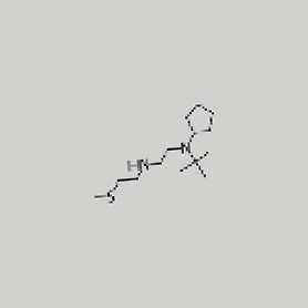 CSCCNCCN(C1CCCC1)C(C)(C)C